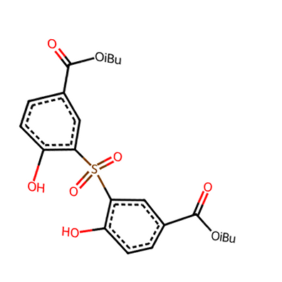 CC(C)COC(=O)c1ccc(O)c(S(=O)(=O)c2cc(C(=O)OCC(C)C)ccc2O)c1